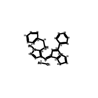 CC(=O)[O-].CC(C)n1ncc(/N=C2\C=C(c3ccccc3)[n+]3ccsc32)c1NCc1ccccc1